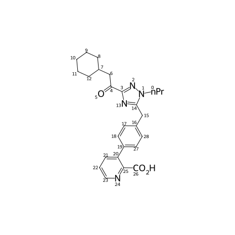 CCCn1nc(C(=O)CC2CCCCC2)nc1Cc1ccc(-c2cccnc2C(=O)O)cc1